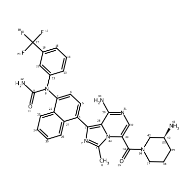 Cc1nc(-c2ccc(N(C(N)=O)c3cccc(C(F)(F)F)c3)c3ccccc23)c2c(N)ncc(C(=O)N3CCC[C@H](N)C3)n12